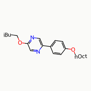 CCCCCCCCOc1ccc(-c2cnc(OCC(C)CC)cn2)cc1